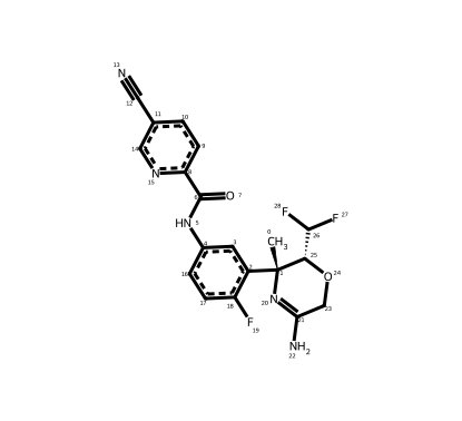 C[C@]1(c2cc(NC(=O)c3ccc(C#N)cn3)ccc2F)N=C(N)CO[C@H]1C(F)F